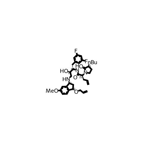 C=CCO[C@@H]1C[C@H](NC[C@@H](O)[C@H](Cc2cc(F)cc(F)c2)NC(=O)[C@H](CC=C)N2CC[C@H](CCCC)C2=O)c2cc(OC)ccc21